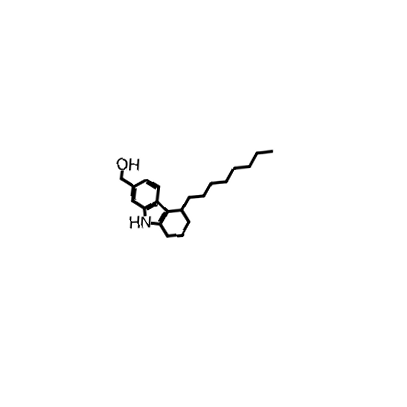 CCCCCCCCC1CCCc2[nH]c3cc(CO)ccc3c21